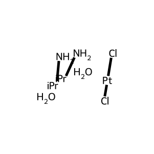 CC(C)N.CC(C)N.O.O.[Cl][Pt][Cl]